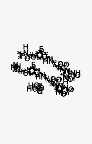 O=C1COc2ncc(N3CC(CCNCC4Cc5cc(OCC(=O)NC6CC6)cc(F)c5C4)OC3=O)nc2N1.O=C1COc2ncc(N3CC(CCNCC4Cc5cc(OCCn6cnnn6)cc(F)c5C4)OC3=O)nc2N1.O=CO.O=CO